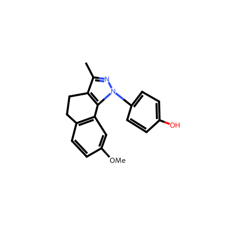 COc1ccc2c(c1)-c1c(c(C)nn1-c1ccc(O)cc1)CC2